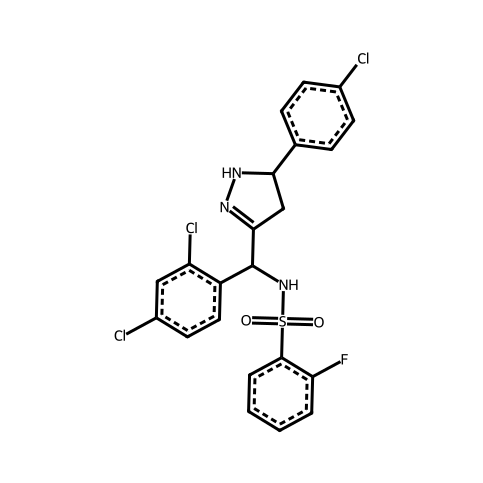 O=S(=O)(NC(C1=NNC(c2ccc(Cl)cc2)C1)c1ccc(Cl)cc1Cl)c1ccccc1F